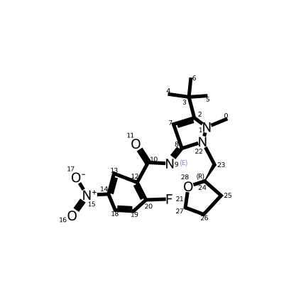 Cn1c(C(C)(C)C)c/c(=N\C(=O)c2cc([N+](=O)[O-])ccc2F)n1C[C@H]1CCCO1